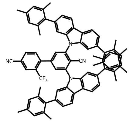 Cc1cc(C)c(-c2ccc3c4ccc(-c5c(C)cc(C)cc5C)cc4n(-c4cc(-c5ccc(C#N)cc5C(F)(F)F)cc(-n5c6cc(-c7c(C)cc(C)cc7C)ccc6c6ccc(-c7c(C)cc(C)cc7C)cc65)c4C#N)c3c2)c(C)c1